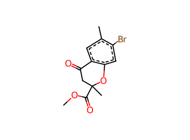 COC(=O)C1(C)CC(=O)c2cc(C)c(Br)cc2O1